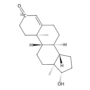 C[C@]12CC[C@H]3[C@@H](CCC4=C[13C](=O)CC[C@@]43C)[C@@H]1CC[C@@H]2O